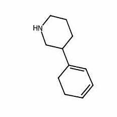 C1=CCCC(C2CCCNC2)=C1